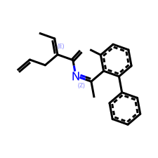 C=CC/C(=C\C)C(=C)/N=C(/C)c1c(C)cccc1-c1ccccc1